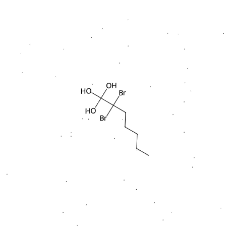 CCCCCC(Br)(Br)C(O)(O)O